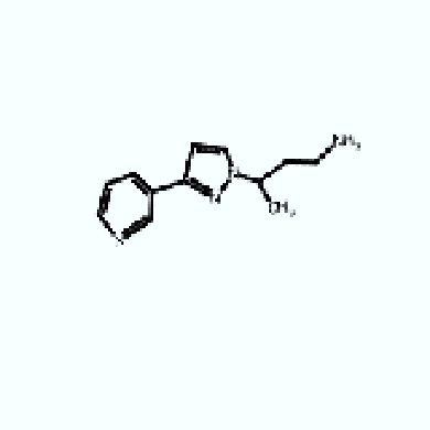 CC(CCN)n1ccc(-c2cccnc2)n1